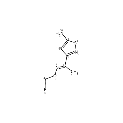 C/C(=N\OCF)c1nsc(N)n1